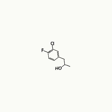 CC(O)Cc1ccc(F)c(Cl)c1